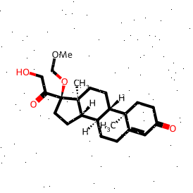 COCO[C@]1(C(=O)CO)CC[C@H]2[C@@H]3CCC4=CC(=O)CC[C@]4(C)[C@H]3CC[C@@]21C